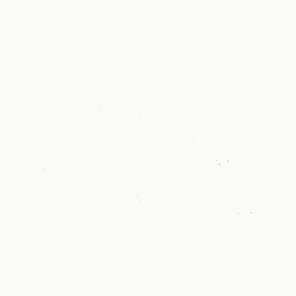 CCc1ccccc1SC(=S)Nc1ccc(C)c(NC(=S)Sc2ccccc2CC)c1